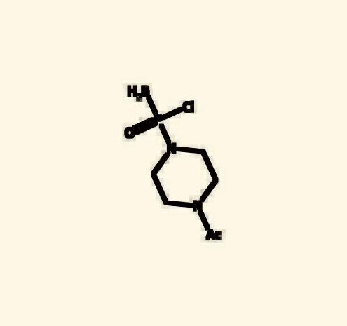 BP(=O)(Cl)N1CCN(C(C)=O)CC1